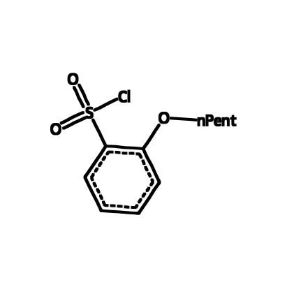 CCCCCOc1ccccc1S(=O)(=O)Cl